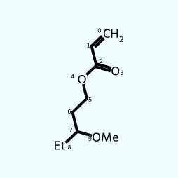 C=CC(=O)OCCC(CC)OC